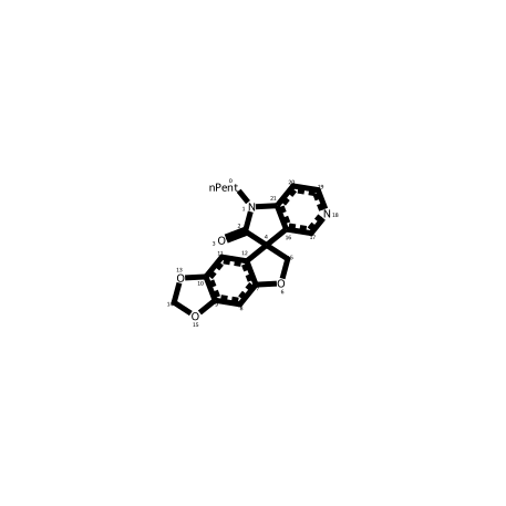 CCCCCN1C(=O)C2(COc3cc4c(cc32)OCO4)c2cnccc21